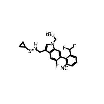 CC(C)(C)Cn1cc(CNSC2CC2)c2cc(F)c(-c3c(C#N)cccc3C(F)F)cc21